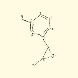 Cc1cccc(C2OC2C)c1